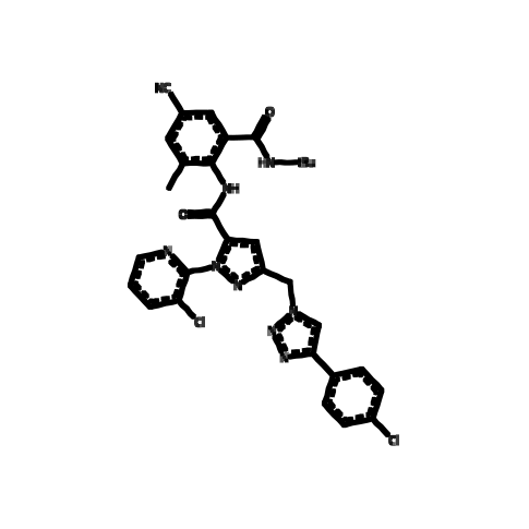 Cc1cc(C#N)cc(C(=O)NC(C)(C)C)c1NC(=O)c1cc(Cn2cc(-c3ccc(Cl)cc3)nn2)nn1-c1ncccc1Cl